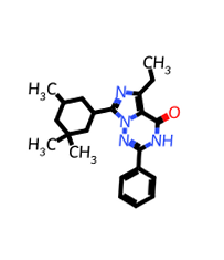 CCc1nc(C2CC(C)CC(C)(C)C2)n2nc(-c3ccccc3)[nH]c(=O)c12